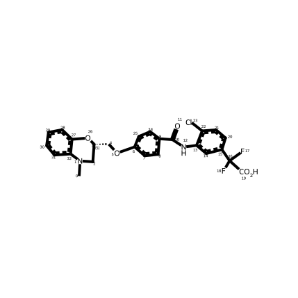 CN1C[C@@H](COc2ccc(C(=O)Nc3cc(C(F)(F)C(=O)O)ccc3Cl)cc2)Oc2ccccc21